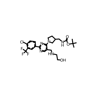 CC(C)(C)OC(=O)NCC1CCN(c2nc(-c3ccc(Cl)c(C(F)(F)F)c3)ncc2CNCCO)C1